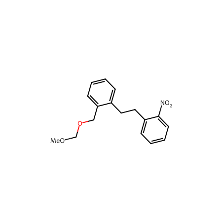 COCOCc1ccccc1CCc1ccccc1[N+](=O)[O-]